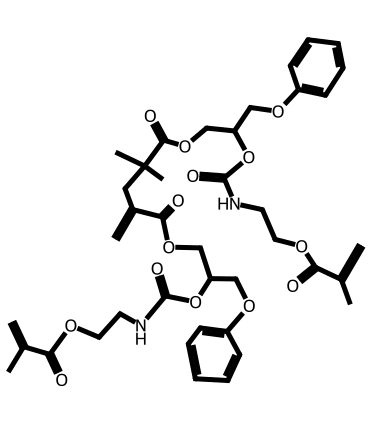 C=C(C)C(=O)OCCNC(=O)OC(COC(=O)C(=C)CC(C)(C)C(=O)OCC(COc1ccccc1)OC(=O)NCCOC(=O)C(=C)C)COc1ccccc1